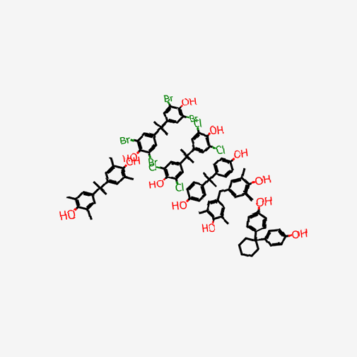 CC(C)(c1cc(Br)c(O)c(Br)c1)c1cc(Br)c(O)c(Br)c1.CC(C)(c1cc(Cl)c(O)c(Cl)c1)c1cc(Cl)c(O)c(Cl)c1.CC(C)(c1ccc(O)cc1)c1ccc(O)cc1.Cc1cc(C(C)(C)c2cc(C)c(O)c(C)c2)cc(C)c1O.Cc1cc(Cc2cc(C)c(O)c(C)c2)cc(C)c1O.Oc1ccc(C2(c3ccc(O)cc3)CCCCC2)cc1